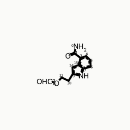 NC(=O)c1cccc2[nH]c(CCOC=O)cc12